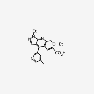 CCOCc1nc2c(cnn2CC)c(-c2cncc(C)c2)c1C=CC(=O)O